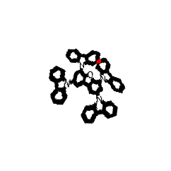 c1ccc2c(c1)c1ccccc1n2-c1cc(-n2c3ccccc3c3ccccc32)c2oc3c(-n4c5ccccc5c5ccccc54)cc(-n4c5ccccc5c5ccccc54)cc3c2c1